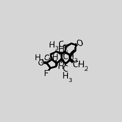 C=C1C2=CC(=O)C[C@H](C)[C@]2(C)[C@H]2CC[C@]3(C)C(=O)C(F)C[C@H]3[C@@H]2C1C